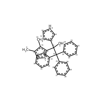 Cc1csc(C(O)(c2c[nH]cn2)C(c2ccccc2)(c2ccccc2)c2ccccc2)c1C